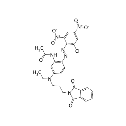 CCN(CCCN1C(=O)c2ccccc2C1=O)c1ccc(/N=N/c2c(Cl)cc([N+](=O)[O-])cc2[N+](=O)[O-])c(NC(C)=O)c1